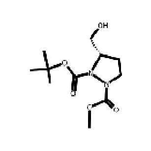 COC(=O)N1CC[C@@H](CO)N1C(=O)OC(C)(C)C